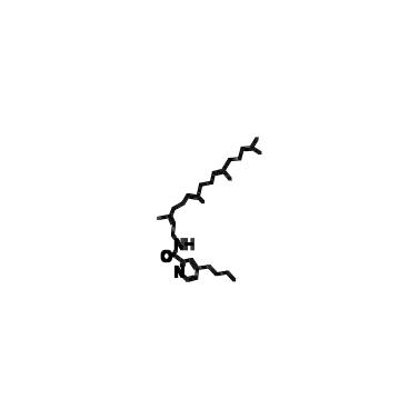 CCCCc1ccnc(C(=O)NC/C=C(\C)CC/C=C(\C)CC/C=C(\C)CCC=C(C)C)c1